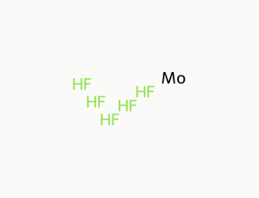 F.F.F.F.F.[Mo]